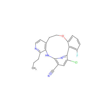 CCCc1nccc2c1Nc1nc(c(Cl)cc1C#N)-c1c(F)cccc1OCC2